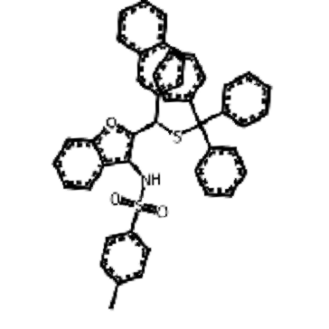 Cc1ccc(S(=O)(=O)Nc2c([C@H](SC(c3ccccc3)(c3ccccc3)c3ccccc3)c3ccc4ccccc4c3)oc3ccccc23)cc1